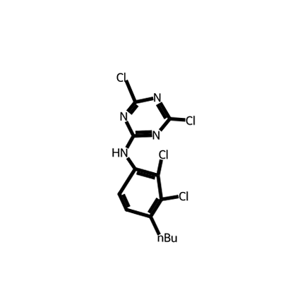 CCCCc1ccc(Nc2nc(Cl)nc(Cl)n2)c(Cl)c1Cl